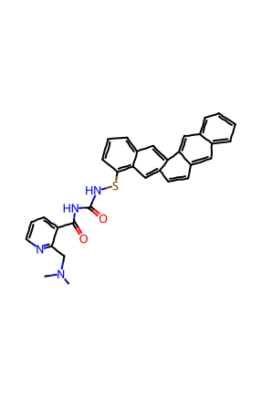 CN(C)Cc1ncccc1C(=O)NC(=O)NSc1cccc2cc3c(ccc4cc5ccccc5cc43)cc12